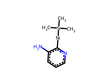 C[Si](C)(C)[Ni][c]1ncccc1N